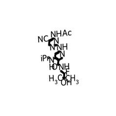 CC(=O)Nc1nc(Nc2cc(NC(C)C)c(C(=O)NC[C@@H](F)C(C)(C)O)cn2)ncc1C#N